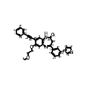 COCCOc1cc2c(cc1C#Cc1ccccc1)NC(=O)CC(c1cccc(-n3ccnc3)c1)=N2